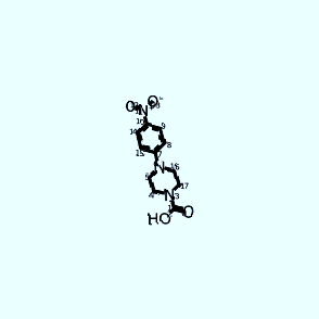 O=C(O)N1CCN(c2ccc([N+](=O)[O-])cc2)CC1